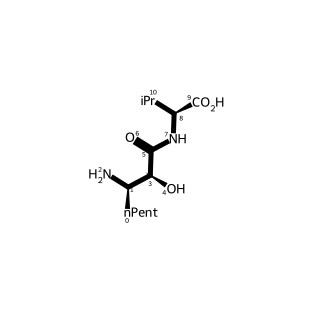 CCCCC[C@@H](N)[C@H](O)C(=O)N[C@H](C(=O)O)C(C)C